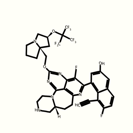 C#Cc1c(F)ccc2cc(O)cc(-c3nc4c5c(nc(OC[C@@]67CCCN6C[C@@H](OC(C(F)(F)F)(C(F)(F)F)C(F)(F)F)C7)nc5c3F)N3CCNC[C@H]3CC4)c12